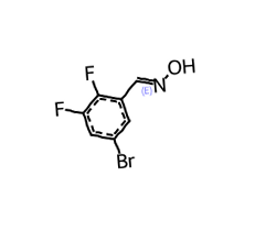 O/N=C/c1cc(Br)cc(F)c1F